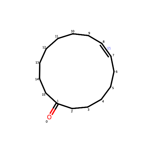 O=C1CCCCC/C=C\CCCCCCC1